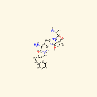 CN[C@@H](C)C(=O)N[C@H](C(=O)N1CCC[C@H]1CN(Cc1cccc2ccccc12)C(=O)CN)C(C)(C)C